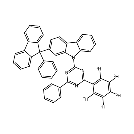 [2H]c1c([2H])c([2H])c(-c2nc(-c3ccccc3)nc(-n3c4ccccc4c4ccc(C5(c6ccccc6)c6ccccc6-c6ccccc65)cc43)n2)c([2H])c1[2H]